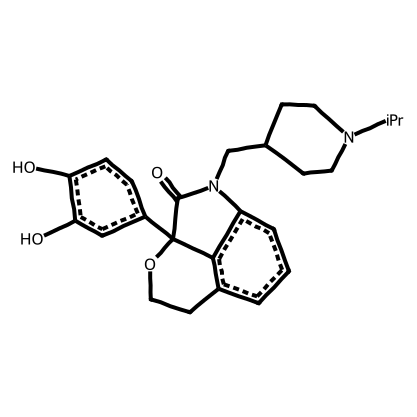 CC(C)N1CCC(CN2C(=O)C3(c4ccc(O)c(O)c4)OCCc4cccc2c43)CC1